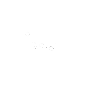 Cc1noc(-c2ccc(CS(=O)(=O)c3ccccc3CC(=O)O)cc2)c1NC(=O)OCCc1ccccc1Cl